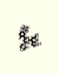 Cc1ccc(S(=O)(=O)N(C)C)cc1-c1cc(N2CCOC[C@H]2C)nc(-c2cc(Cl)nc3[nH]ccc23)n1